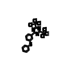 ClC(Cl)(Cl)c1nc(-c2cccc(Sc3ccccc3)c2)nc(C(Cl)(Cl)Cl)n1